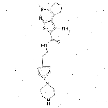 Cc1nc2sc(C(=O)NCCc3ccc(N4CCNCC4)cc3)c(N)c2c2c1CCC2